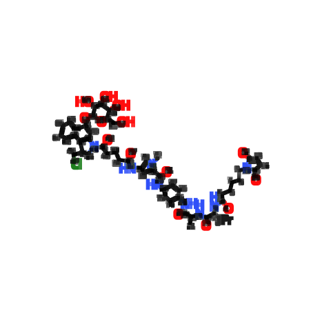 CC(C)[C@H](NC(=O)CCCCCN1C(=O)C=CC1=O)C(=O)N[C@@H](C)C(=O)Nc1ccc(NC(=O)c2cc(NC(=O)CCCC(=O)N3C[C@@H](CCl)c4c3cc(O[C@@H]3O[C@H](CO)[C@H](O)[C@H](O)[C@H]3O)c3ccccc43)cn2C)cc1